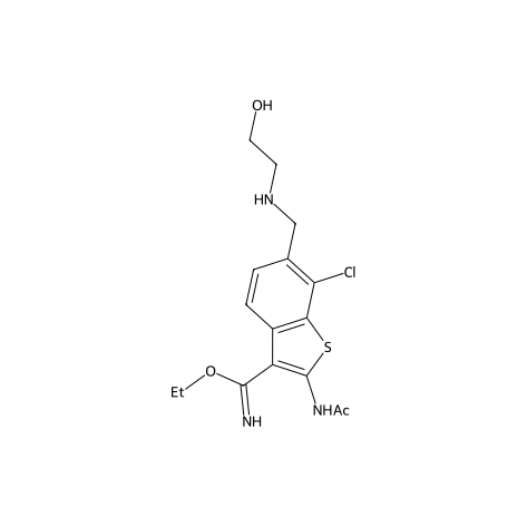 CCOC(=N)c1c(NC(C)=O)sc2c(Cl)c(CNCCO)ccc12